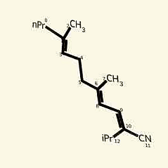 CCC/C(C)=C/CC/C(C)=C/C=C(/C#N)C(C)C